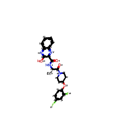 CC[C@H](NC(=O)c1nc2ccccc2nc1O)C(=O)N1CCC(Oc2ccc(F)cc2F)CC1